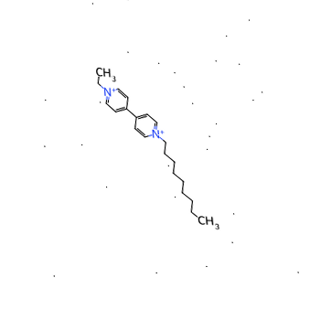 CCCCCCCCC[n+]1ccc(-c2cc[n+](CC)cc2)cc1